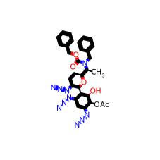 CC(=O)O[C@H]1C(N=[N+]=[N-])CC(N=[N+]=[N-])[C@@H](C2O[C@H]([C@H](C)N(Cc3ccccc3)C(=O)OCc3ccccc3)CCC2N=[N+]=[N-])[C@@H]1O